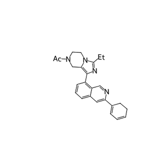 CCc1nc(-c2cccc3cc(C4=CC=CCC4)ncc23)c2n1CCN(C(C)=O)C2